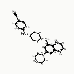 N#Cc1cnc(N[C@H]2CC[C@@H](Oc3cc(N4CCOCC4)cc4nccnc34)CC2)nc1